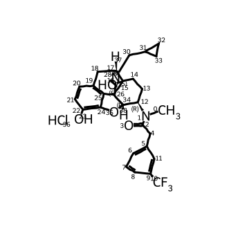 CN(C(=O)Cc1cccc(C(F)(F)F)c1)[C@@H]1CC[C@@]2(O)[C@H]3Cc4ccc(O)c5c4[C@@]2(CCN3CC2CC2)[C@H]1O5.Cl